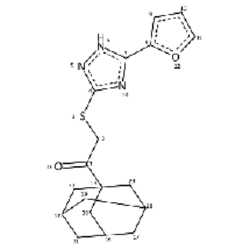 O=C(CSc1n[nH]c(-c2ccco2)n1)C12CC3CC(CC(C3)C1)C2